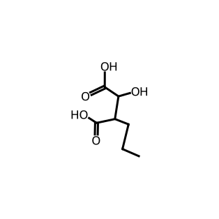 CCCC(C(=O)O)C(O)C(=O)O